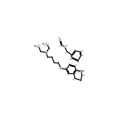 CCN(CC)CCCCOc1ccc2c(c1)CCCN2.O=COCc1ccccc1